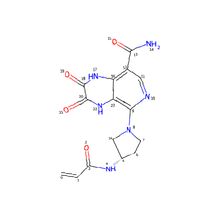 C=CC(=O)N[C@H]1CCN(c2ncc(C(N)=O)c3[nH]c(=O)c(=O)[nH]c23)C1